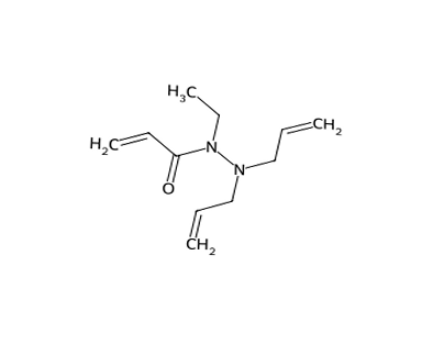 C=CCN(CC=C)N(CC)C(=O)C=C